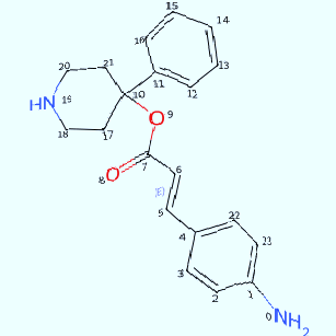 Nc1ccc(/C=C/C(=O)OC2(c3ccccc3)CCNCC2)cc1